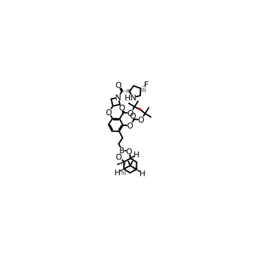 CC(C)(C)OC(=O)Oc1c(CCB2O[C@@H]3C[C@@H]4C[C@@H](C4(C)C)[C@]3(C)O2)ccc(OC2CN(C(=O)[C@@H]3C[C@H](F)CN3)C2)c1C(=O)OC(C)(C)C